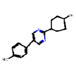 Cc1ccc(-c2cnc(C3CCC(C#N)CC3)nc2)cc1